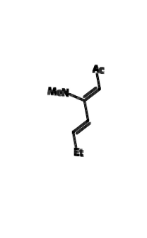 CC/C=C/C(=C/C(C)=O)NC